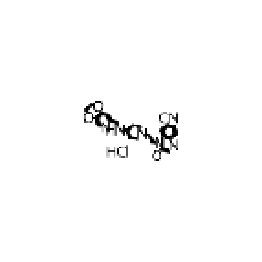 Cl.N#Cc1ccc2ncc(=O)n(CCN3CCC(NCc4cc5c(cn4)OCCO5)CC3)c2c1